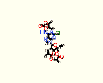 C#C[C@]1(COC(=O)C(C)C)O[C@@H](n2cnc3c(=N)n(Cc4oc(=O)oc4C)c(Cl)nc32)C[C@@H]1OC(=O)C(C)C